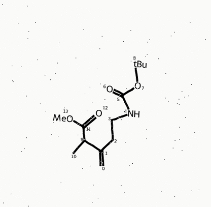 C=C(CCNC(=O)OC(C)(C)C)C(C)C(=O)OC